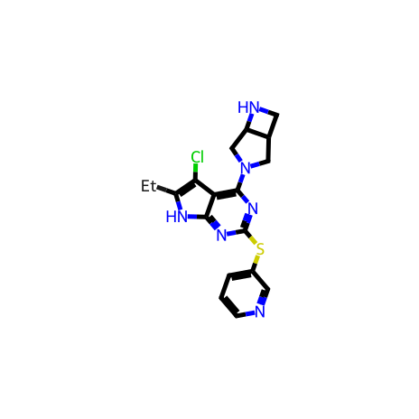 CCc1[nH]c2nc(Sc3cccnc3)nc(N3CC4CNC4C3)c2c1Cl